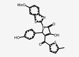 COc1ccc2nc(N3C(=O)C(O)=C(C(=O)c4ccc(C)s4)C3c3ccc(O)cc3)sc2c1